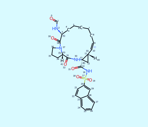 O=CN[C@H]1CCCCC/C=C\[C@@H]2C[C@@]2(C(=O)NS(=O)(=O)c2ccc3ccccc3c2)NC(=O)[C@@H]2CCCN2C1=O